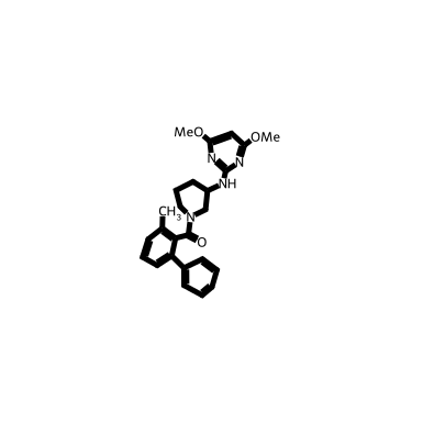 COc1cc(OC)nc(NC2CCCN(C(=O)c3c(C)cccc3-c3ccccc3)C2)n1